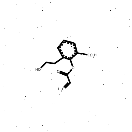 C=CC(=O)Oc1c(CCO)cccc1C(=O)O